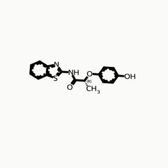 C[C@@H](Oc1ccc(O)cc1)C(=O)Nc1nc2ccccc2s1